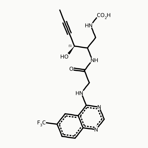 CC#C[C@H](O)C(CNC(=O)O)NC(=O)CNc1ncnc2ccc(C(F)(F)F)cc12